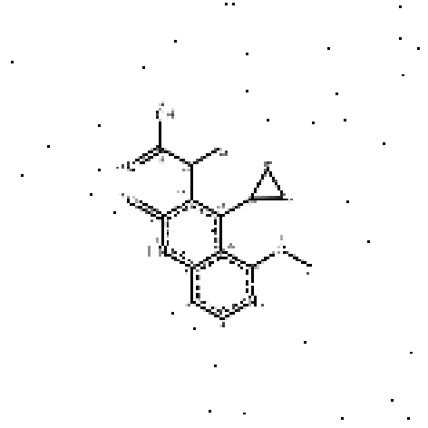 COc1nccc2[nH]c(=O)c(C(C)C(=O)O)c(C3CC3)c12